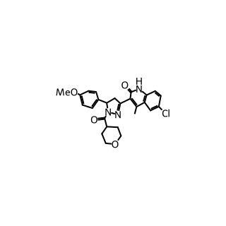 COc1ccc(C2CC(c3c(C)c4cc(Cl)ccc4[nH]c3=O)=NN2C(=O)C2CCOCC2)cc1